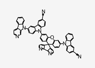 N#Cc1ccc2c(c1)c1ccccc1n2-c1ccc2c(c1)Oc1cc(-n3c4ccc(C#N)cc4c4cc(-n5c6ccccc6c6ccncc65)ccc43)ccc1C21c2cccnc2-c2ncccc21